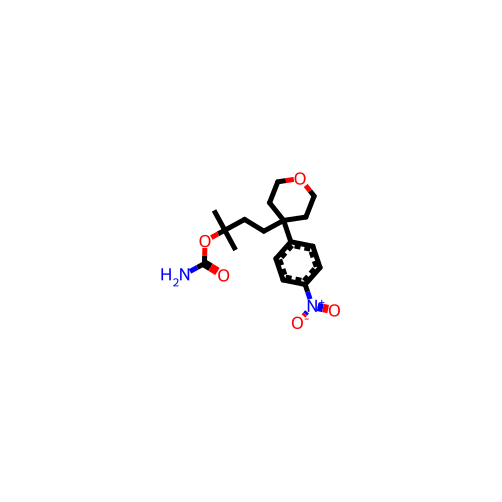 CC(C)(CCC1(c2ccc([N+](=O)[O-])cc2)CCOCC1)OC(N)=O